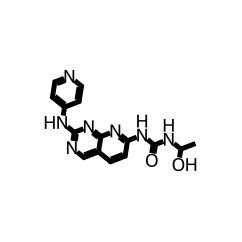 CC(O)NC(=O)Nc1ccc2cnc(Nc3ccncc3)nc2n1